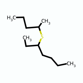 CCCCC(CC)SC(C)CCC